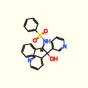 O=S(=O)(N[C@H](c1ccccc1)C(O)(c1cccnc1)c1cccnc1)c1ccccc1